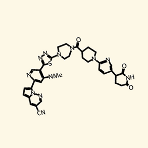 CNc1cc(-c2ccc3cc(C#N)cnn23)ncc1-c1nnc(N2CCN(C(=O)C3CCN(c4ccc(C5CCC(=O)NC5=O)cn4)CC3)CC2)s1